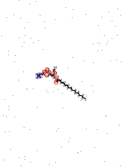 CCCCCCCCCCCCCCCC(=O)OC[C@H](COP(=O)([O-])OCC[N+](C)(C)C)OCC